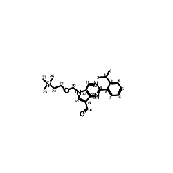 CC(C)c1ccccc1-c1ncc2c(n1)c(C=O)cn2COCC[Si](C)(C)C